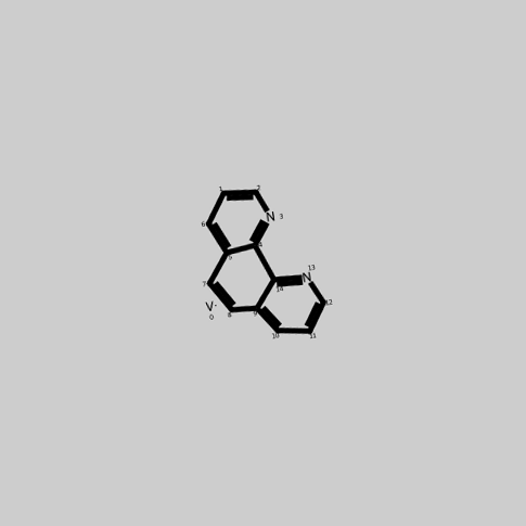 [V].c1cnc2c(c1)ccc1cccnc12